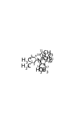 C=C/C=C(\C=C/C)N(C(=C)/C=C\C)C(=C/C)/C(=C\C)C/C=C\C